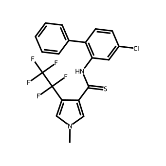 Cn1cc(C(=S)Nc2cc(Cl)ccc2-c2ccccc2)c(C(F)(F)C(F)(F)F)c1